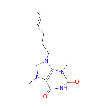 CC=CCCCN1CN(C)c2c1n(C)c(=O)[nH]c2=O